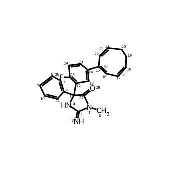 CN1C(=N)NC(c2ccccc2)(c2cc(C3=C/C=C\CC/C=C\3)ccc2F)C1=O